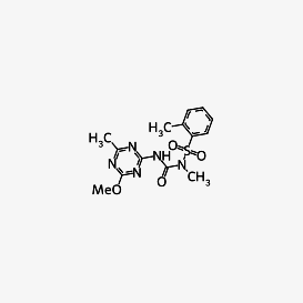 COc1nc(C)nc(NC(=O)N(C)S(=O)(=O)c2ccccc2C)n1